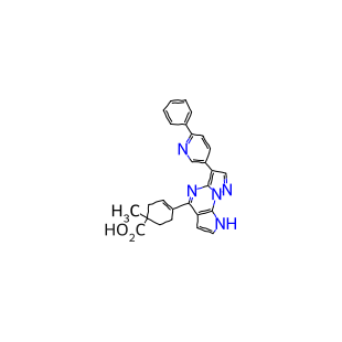 CC1(C(=O)O)CC=C(c2nc3c(-c4ccc(-c5ccccc5)nc4)cnn3c3[nH]ccc23)CC1